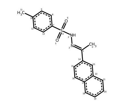 CC(=NNS(=O)(=O)c1ccc(C)cc1)c1ccc2ccccc2c1